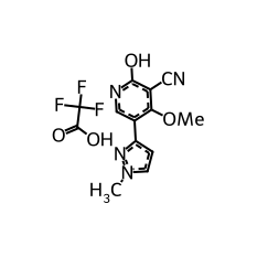 COc1c(-c2ccn(C)n2)cnc(O)c1C#N.O=C(O)C(F)(F)F